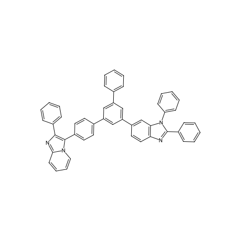 c1ccc(-c2cc(-c3ccc(-c4c(-c5ccccc5)nc5ccccn45)cc3)cc(-c3ccc4nc(-c5ccccc5)n(-c5ccccc5)c4c3)c2)cc1